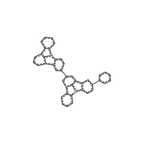 c1ccc(-c2ccc3c(c2)c2cc(-c4ccc5c(c4)c4cccc6c7ccccc7n5c64)cc4c5ccccc5n3c42)cc1